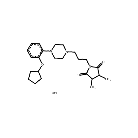 CC1C(=O)N(CCCN2CCN(c3ccccc3OC3CCCC3)CC2)C(=O)C1C.Cl